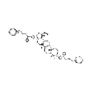 C=C(C)[C@@H]1CC[C@]2(COC(=O)CCC[n+]3ccccc3)CC[C@]3(C)C(CCC4[C@@]5(C)CC[C@H](OC(=O)CCC[N+]6=CC=CCC6)C(C)(C)C5CC[C@]43C)C12